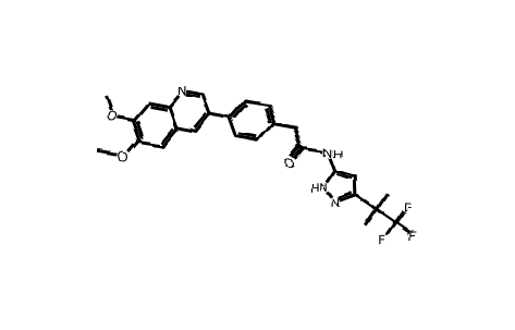 COc1cc2cc(-c3ccc(CC(=O)Nc4cc(C(C)(C)C(F)(F)F)n[nH]4)cc3)cnc2cc1OC